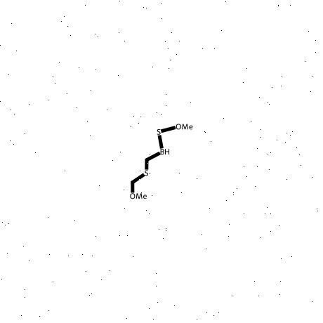 COCSCBSOC